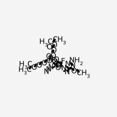 CCOc1nc(N)nc2c1ncn2[C@@H]1O[C@](CN=[N+]=[N-])(COP(=O)(OCOCOCOC(C)C)OCOC(=O)OC(C)C)[C@@H](O)[C@H]1F